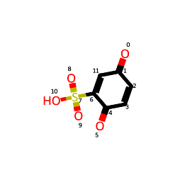 O=C1C=CC(=O)C(S(=O)(=O)O)=C1